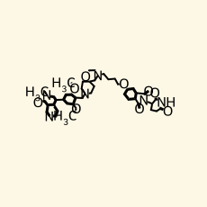 COc1cc(-c2cn(C)c(=O)c3cnccc23)cc(OC)c1CN1CCC2(CC1)CN(CCCCOc1ccc3c(c1)C(=O)N(C1CCC(=O)NC1=O)C3=O)CCO2